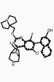 Oc1cc(-c2c(Cl)cc3c(N4C5CNCC4C(F)C5)nc(OCC45CCCN4CCC5)nc3c2F)c2ccccc2c1